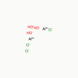 [Al+3].[Al+3].[Cl-].[Cl-].[Cl-].[OH-].[OH-].[OH-]